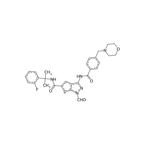 CC(C)(NC(=O)c1cc2c(NC(=O)c3ccc(CN4CCOCC4)cc3)nn([C]=O)c2s1)c1ccccc1F